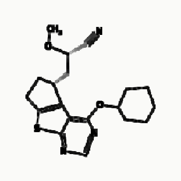 CO[C@H](C#N)C[C@H]1CCc2sc3ncnc(OC4CCCCC4)c3c21